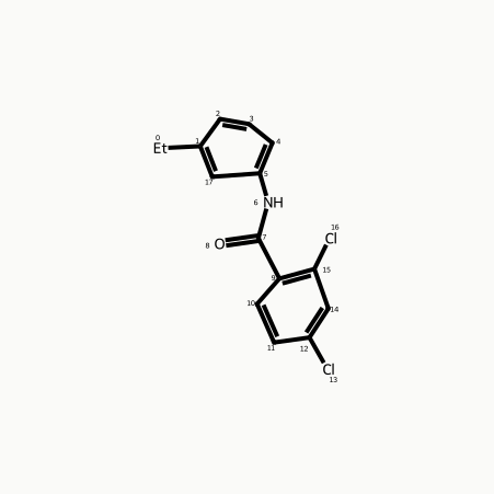 CCc1cccc(NC(=O)c2ccc(Cl)cc2Cl)c1